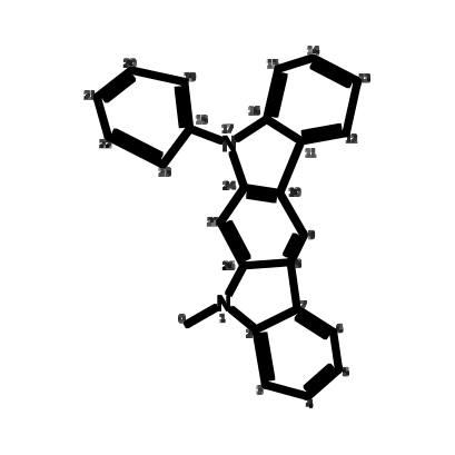 Cn1c2ccccc2c2cc3c4ccccc4n(-c4ccccc4)c3cc21